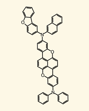 c1ccc(N(c2ccccc2)c2ccc3c(c2)Oc2ccc4c5c(ccc-3c25)Oc2cc(N(c3ccc5ccccc5c3)c3ccc5oc6ccccc6c5c3)ccc2-4)cc1